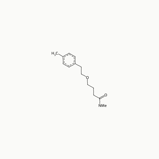 CNC(=O)CCCOCCc1ccc(C)cc1